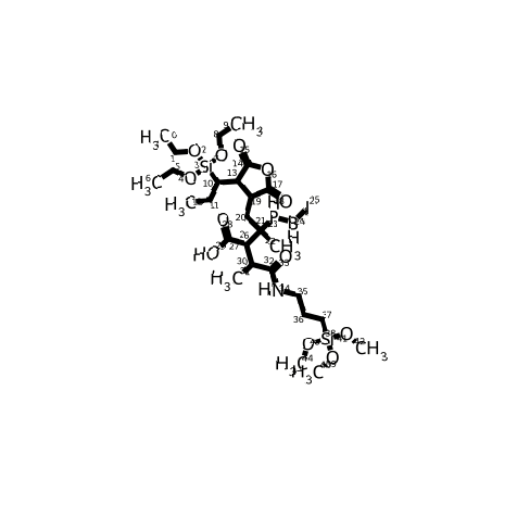 CCO[Si](OCC)(OCC)C(CC)C1C(=O)OC(=O)C1CC(C)(PBI)C(C(=O)O)C(C)C(=O)NCCC[Si](OC)(OC)OC